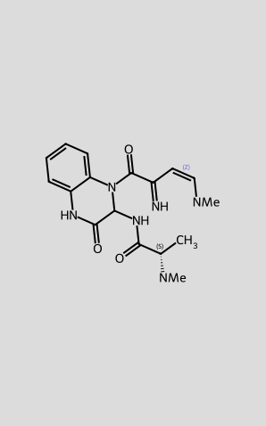 CN/C=C\C(=N)C(=O)N1c2ccccc2NC(=O)C1NC(=O)[C@H](C)NC